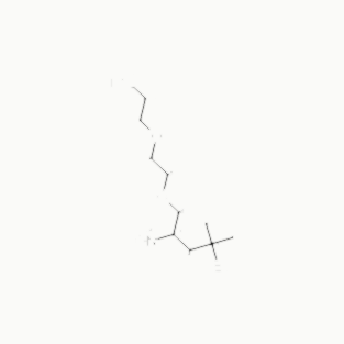 CCC(C)(C)CC(COCCOCCC(C)(C)C)N=O